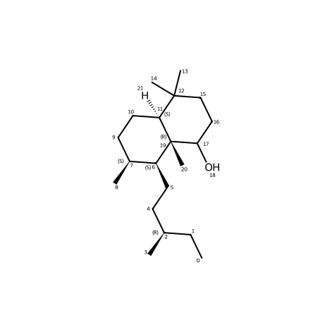 CC[C@@H](C)CC[C@H]1[C@@H](C)CC[C@H]2C(C)(C)CCC(O)[C@]12C